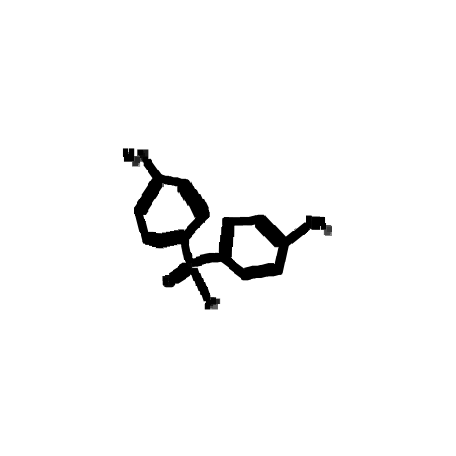 CC(C)P(=O)(c1ccc(N)cc1)c1ccc(N)cc1